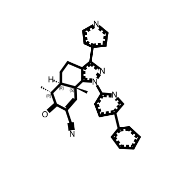 C[C@H]1C(=O)C(C#N)=C[C@@]2(C)c3c(c(-c4ccncc4)nn3-c3ccc(-c4ccccc4)cn3)CC[C@H]12